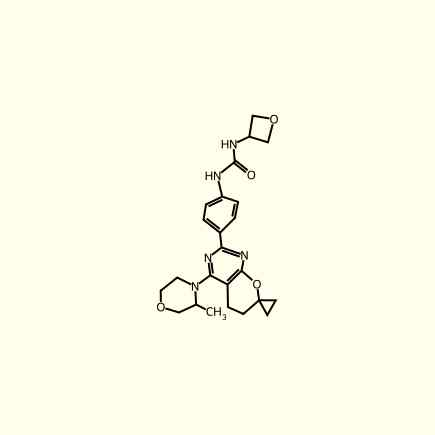 CC1COCCN1c1nc(-c2ccc(NC(=O)NC3COC3)cc2)nc2c1CCC1(CC1)O2